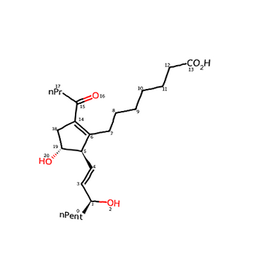 CCCCC[C@H](O)C=C[C@@H]1C(CCCCCCC(=O)O)=C(C(=O)CCC)C[C@H]1O